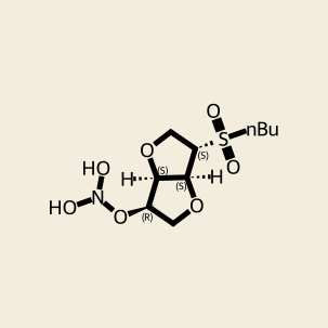 CCCCS(=O)(=O)[C@H]1CO[C@H]2[C@@H]1OC[C@H]2ON(O)O